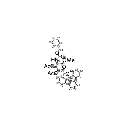 CO[C@H]1O[C@H](COC(c2ccccc2)(c2ccccc2)c2ccccc2)[C@@H](OC(C)=O)[C@H](OC(C)=O)[C@H]1NC(=O)OCc1ccccc1